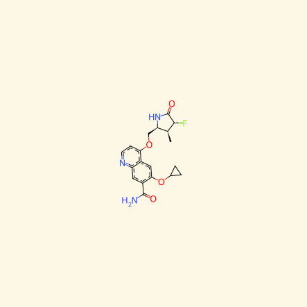 C[C@@H]1[C@H](F)C(=O)N[C@@H]1COc1ccnc2cc(C(N)=O)c(OC3CC3)cc12